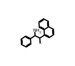 [CH2]C(c1cccc2ccccc12)C(N)c1ccccc1